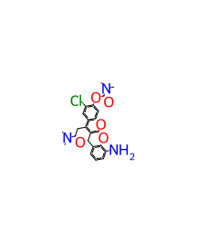 CN(C)C(=O)Cc1c(Cc2cccc(N)c2)c(=O)oc2cc(OC(=O)N(C)C)c(Cl)cc12